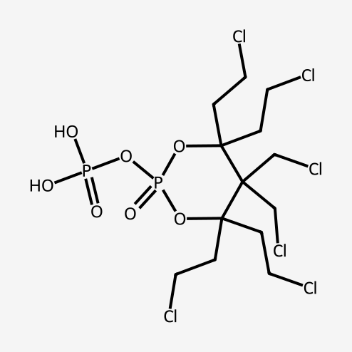 O=P(O)(O)OP1(=O)OC(CCCl)(CCCl)C(CCl)(CCl)C(CCCl)(CCCl)O1